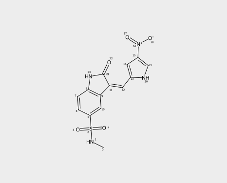 CNS(=O)(=O)c1ccc2c(c1)/C(=C/c1cc([N+](=O)[O-])c[nH]1)C(=O)N2